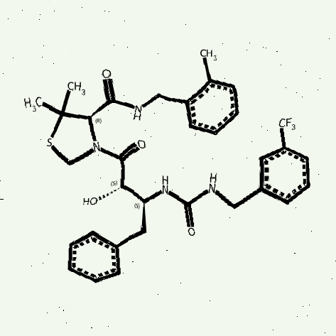 Cc1ccccc1CNC(=O)[C@H]1N(C(=O)[C@@H](O)[C@H](Cc2ccccc2)NC(=O)NCc2cccc(C(F)(F)F)c2)CSC1(C)C